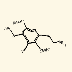 CCCSc1c(OC)cc(CCN)c(OC)c1F